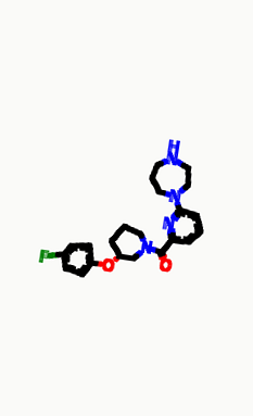 O=C(c1cccc(N2CCCNCC2)n1)N1CCC[C@H](Oc2ccc(F)cc2)C1